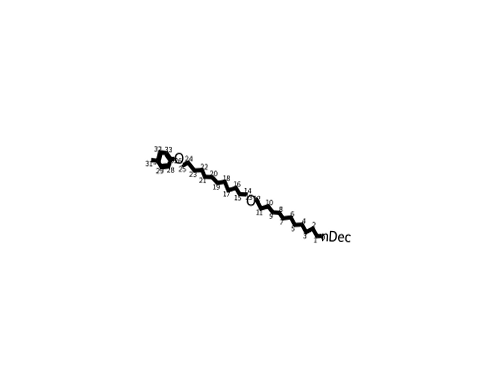 CCCCCCCCCCCCCCCCCCCCCCOCCCCCCCCCCCCOc1ccc(C)cc1